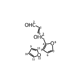 C=CC=O.O=Cc1ccco1.c1ccoc1